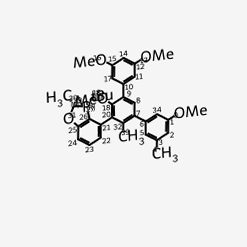 COc1cc(C)cc(-c2cc(-c3cc(OC)cc(OC)c3)c(OC)c(-c3cccc4c3[P@](C(C)(C)C)[C@@H](C)O4)c2C)c1